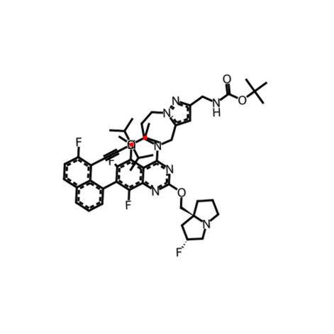 COc1c(F)c(-c2cccc3ccc(F)c(C#C[Si](C(C)C)(C(C)C)C(C)C)c23)c(F)c2nc(OC[C@@]34CCCN3C[C@H](F)C4)nc(N3CCCn4nc(CNC(=O)OC(C)(C)C)cc4C3)c12